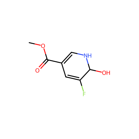 COC(=O)C1=CNC(O)C(F)=C1